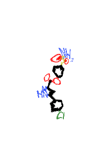 NS(=O)(=O)c1ccc(OC(=O)c2cc(-c3ccc(Cl)cc3)[nH]n2)cc1